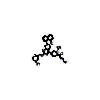 CC(C)N1CCOC(COc2nc3c(c(N4CCN(C(=O)/C=C/CF)[C@@H](CC#N)C4)n2)CCN(c2cccc4cccc(Cl)c24)C3)C1